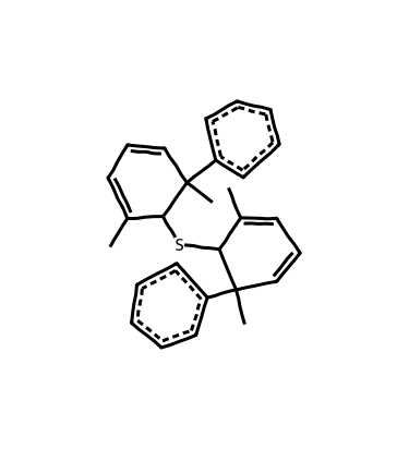 CC1=CC=CC(C)(c2ccccc2)C1SC1C(C)=CC=CC1(C)c1ccccc1